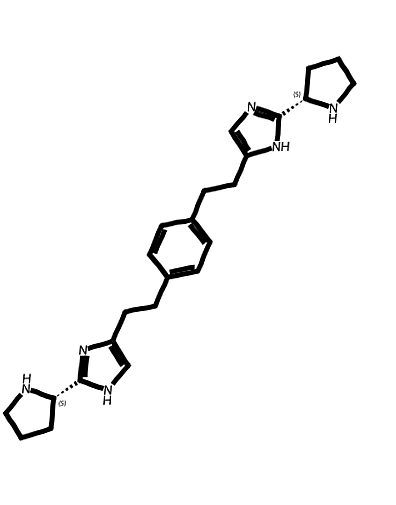 c1cc(CCc2cnc([C@@H]3CCCN3)[nH]2)ccc1CCc1c[nH]c([C@@H]2CCCN2)n1